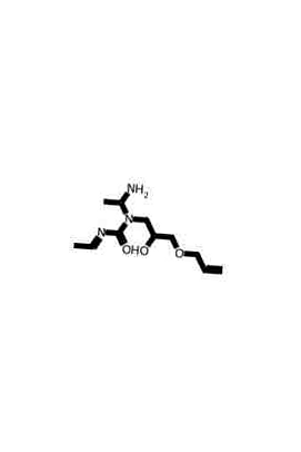 C=CCOCC(O)CN(C(=O)N=CC)C(C)N